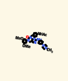 COc1cc(OC)cc(N2Cc3cnc(Nc4ccc(N5CCN(C)CC5)cc4)nc3N(Cc3ccc(NC(C)=O)cc3)C2=O)c1